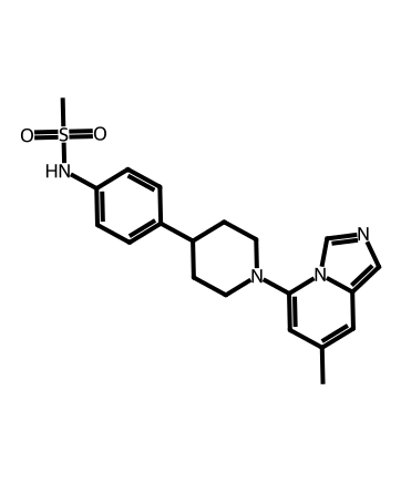 Cc1cc(N2CCC(c3ccc(NS(C)(=O)=O)cc3)CC2)n2cncc2c1